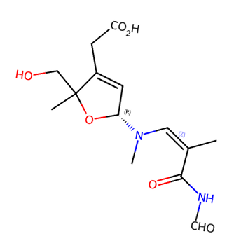 C/C(=C/N(C)[C@H]1C=C(CC(=O)O)C(C)(CO)O1)C(=O)NC=O